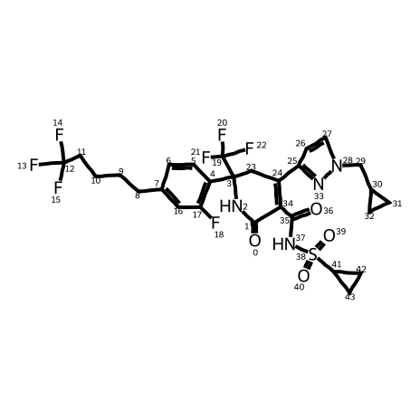 O=C1NC(c2ccc(CCCCC(F)(F)F)cc2F)(C(F)(F)F)CC(c2ccn(CC3CC3)n2)=C1C(=O)NS(=O)(=O)C1CC1